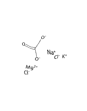 O=C([O-])[O-].[Cl-].[Cl-].[K+].[Mg+2].[Na+]